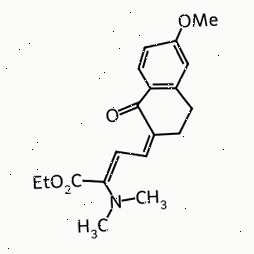 CCOC(=O)C(=CC=C1CCc2cc(OC)ccc2C1=O)N(C)C